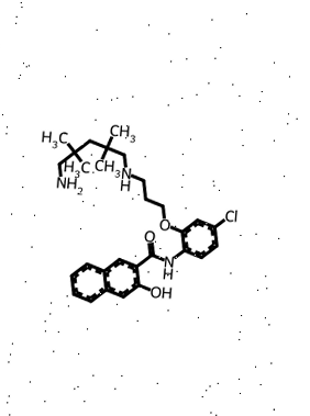 CC(C)(CN)CC(C)(C)CNCCCOc1cc(Cl)ccc1NC(=O)c1cc2ccccc2cc1O